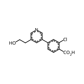 O=C(O)c1ccc(-c2cncc(CCO)c2)cc1Cl